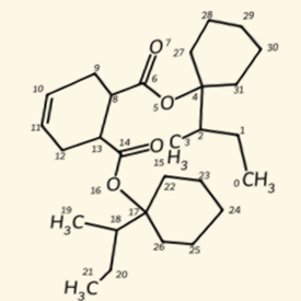 CCC(C)C1(OC(=O)C2CC=CCC2C(=O)OC2(C(C)CC)CCCCC2)CCCCC1